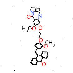 COc1cc(C=C2c3ccccc3C(=O)c3ccccc32)ccc1OCCCOc1cc2c(cc1OC)C(=O)N1CCC[C@H]1C=N2